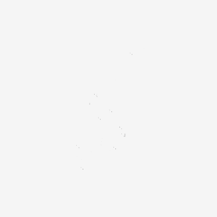 CN(C)c1cncc(-c2cnc3[nH]nc(-c4nc5c(-c6cc(F)cc(OCCN7CCCC7)c6)nccc5[nH]4)c3c2)c1